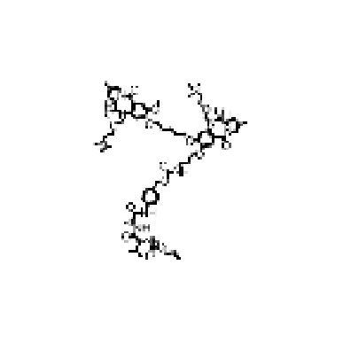 C=CCOC(=O)N[C@H](C(=O)N[C@@H](C)C(=O)Nc1ccc(COC(=O)NCCCOc2cc3c(cc2OCCCCCOc2cc4c(cc2OC)C(=O)N2C=C(C)C[C@H]2C(=O)N4COCC[Si](C)(C)C)N(COCC[Si](C)(C)C)C(=O)[C@@H]2CC(C)=CN2C3=O)cc1)C(C)C